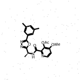 COc1ccnc(C(=O)N[C@@H](C)c2nnc(-c3cc(C)cc(C)c3)o2)c1OC(C)=O